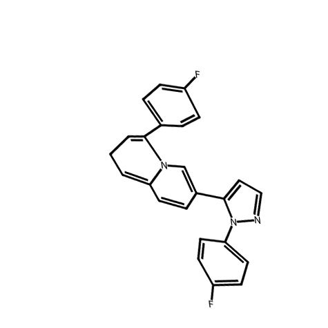 Fc1ccc(C2=CCC=C3C=CC(c4ccnn4-c4ccc(F)cc4)=CN32)cc1